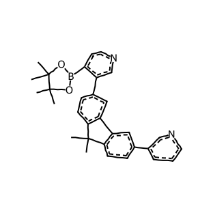 CC1(C)c2ccc(-c3cccnc3)cc2-c2cc(-c3cnccc3B3OC(C)(C)C(C)(C)O3)ccc21